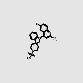 NS(=O)(=O)N1CCC(CNc2cc(C(F)(F)F)nc3ccc(F)cc23)(c2ccccc2)CC1